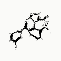 Cc1nnc(CBr)n1-c1c(C(=O)c2cccc(Cl)c2)cccc1[N+](=O)[O-]